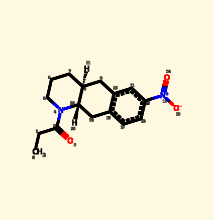 CCC(=O)N1CCC[C@H]2Cc3cc([N+](=O)[O-])ccc3C[C@@H]21